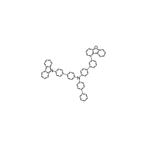 c1ccc(-c2ccc(N(c3ccc(-c4ccc(-n5c6ccccc6c6ccccc65)cc4)cc3)c3ccc(-c4cccc(-c5cccc6oc7ccccc7c56)c4)cc3)cc2)cc1